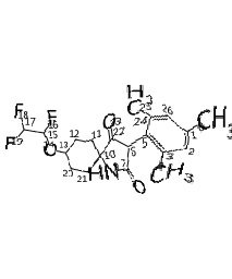 Cc1cc(C)c(C2C(=O)NC3(CCC(OC(F)C(F)F)CC3)C2=O)c(C)c1